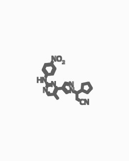 Cc1cnc(Nc2ccc([N+](=O)[O-])cc2)nc1-c1cnn(C(CC#N)C2CCCC2)c1